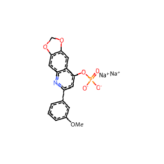 COc1cccc(-c2cc(OP(=O)([O-])[O-])c3cc4c(cc3n2)OCO4)c1.[Na+].[Na+]